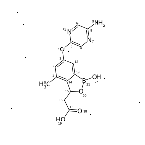 Cc1cc(Oc2cnc(N)cn2)cc2c1C(CC(=O)O)OB2O